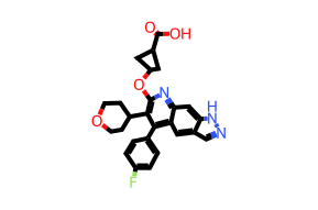 O=C(O)C1CC(Oc2nc3cc4[nH]ncc4cc3c(-c3ccc(F)cc3)c2C2CCOCC2)C1